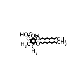 CCCCCCCCCOc1c(C)c(C)c(OC(=O)O)c(O)c1OCCCCCCCCC